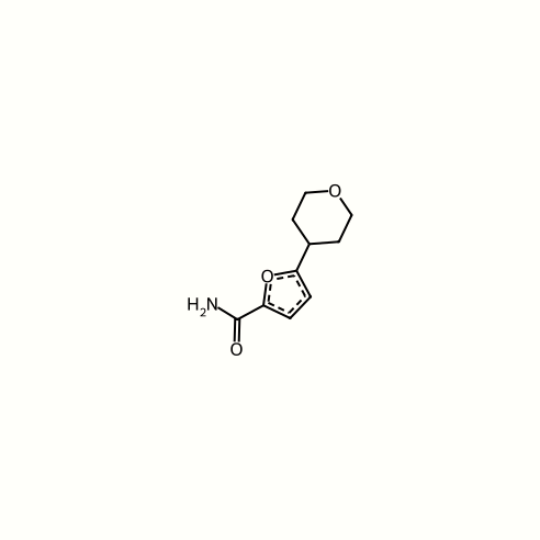 NC(=O)c1ccc(C2CCOCC2)o1